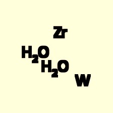 O.O.[W].[Zr]